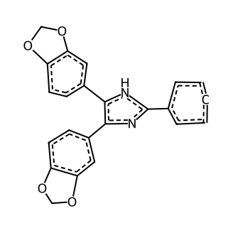 c1ccc(-c2nc(-c3ccc4c(c3)OCO4)c(-c3ccc4c(c3)OCO4)[nH]2)cc1